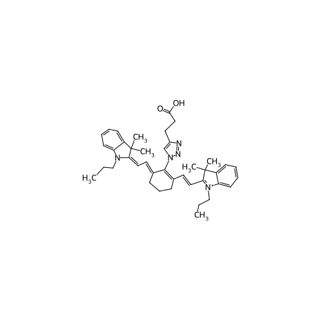 CCCN1/C(=C/C=C2\CCCC(/C=C/C3=[N+](CCC)c4ccccc4C3(C)C)=C2n2cc(CCC(=O)O)nn2)C(C)(C)c2ccccc21